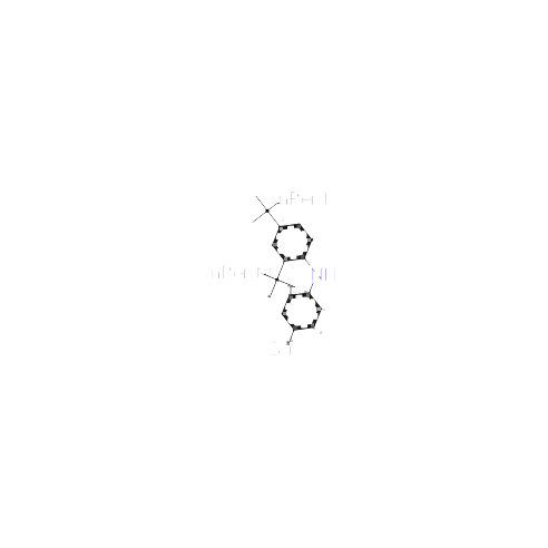 CCCCCC(C)(C)c1ccc(Nc2ccc(C(C)(C)C)cc2)c(C(C)(C)CCCCC)c1